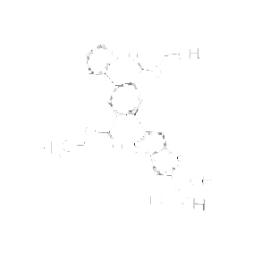 CCOC(=O)c1cc(-c2cc3sc(S(C)(C)C)cc3s2)c(C(=O)OCC)cc1-c1cccs1